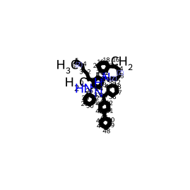 C=C(CC/C=C\C)c1cc(N2/C=C\C=C/C(=C)c3ccccc32)ccc1Nc1ccccc1NC(C1=CC=CCC1)c1ccc(-c2ccccc2)cc1